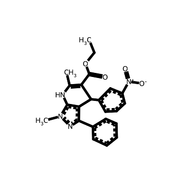 CCOC(=O)C1=C(C)Nc2c(c(-c3ccccc3)nn2C)C1c1cccc([N+](=O)[O-])c1